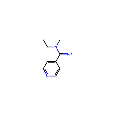 CCN(C)C(=N)c1ccncc1